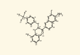 Cc1cc2cc(C(=O)N(Cc3ccc(C(F)(F)F)cn3)Cc3c(F)cncc3F)ccc2nc1N